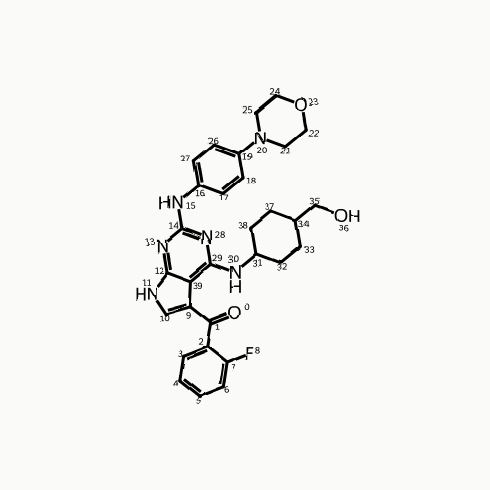 O=C(c1ccccc1F)c1c[nH]c2nc(Nc3ccc(N4CCOCC4)cc3)nc(NC3CCC(CO)CC3)c12